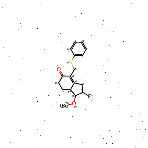 CCC1CC2=C(CSc3ccccc3)C(=O)CCC2[C@@H]1OC(C)(C)C